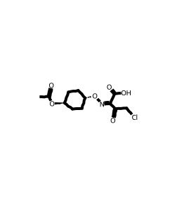 CC(=O)O[C@H]1CC[C@H](ON=C(C(=O)O)C(=O)CCl)CC1